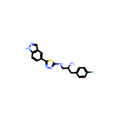 NC(CNc1nnc(-c2ccc3[nH]ncc3c2)s1)Cc1ccc(Cl)cc1